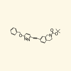 CC(C)(C)OC(=O)N1CCc2ccc(C#Cc3ccc(OCc4ccccc4)nn3)cc2C1